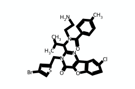 Cc1ccc(C(=O)N(CCN)C(c2nc3c(oc4ccc(Cl)cc43)c(=O)n2Cc2cc(Br)cs2)C(C)C)cc1